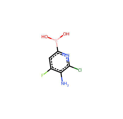 Nc1c(F)cc(B(O)O)nc1Cl